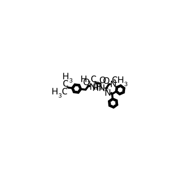 CC(C)c1ccc(CC(=O)N[C@@H](C)C(=O)N[C@H]2N=C(c3ccccc3)c3ccccc3N(C)C2=O)cc1